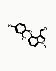 Cn1cc(C=O)c2c(Oc3ccc(F)cc3Cl)cccc21